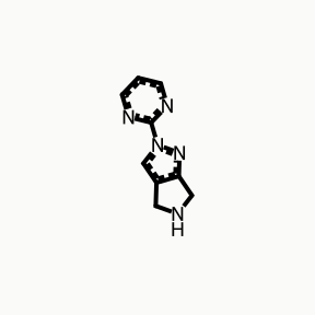 c1cnc(-n2cc3c(n2)CNC3)nc1